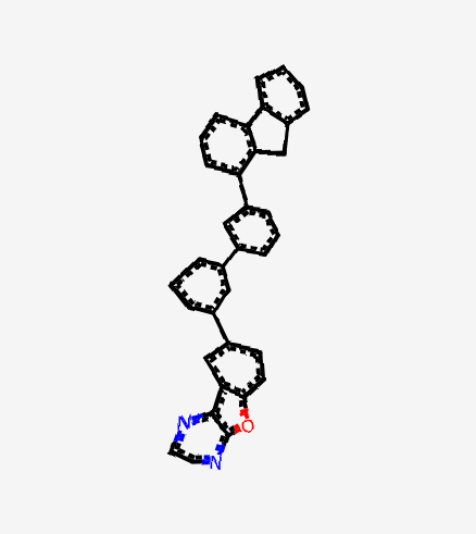 c1cc(-c2cccc(-c3cccc4c3Cc3ccccc3-4)c2)cc(-c2ccc3oc4nccnc4c3c2)c1